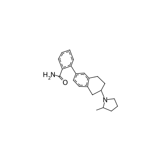 CC1CCCN1C1CCc2cc(-c3ccccc3C(N)=O)ccc2C1